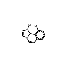 CCc1cccc2c1C1N(C=C2)C=NN1CC